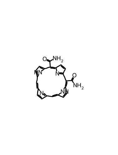 NC(=O)c1c2nc(c(C(N)=O)c3ccc(cc4nc(cc5ccc1[nH]5)C=C4)[nH]3)C=C2